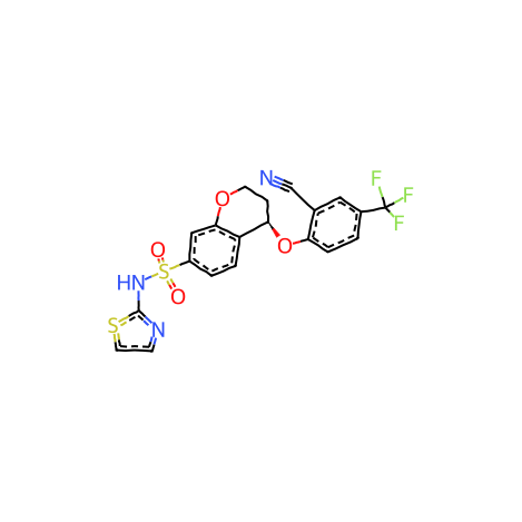 N#Cc1cc(C(F)(F)F)ccc1O[C@@H]1CCOc2cc(S(=O)(=O)Nc3nccs3)ccc21